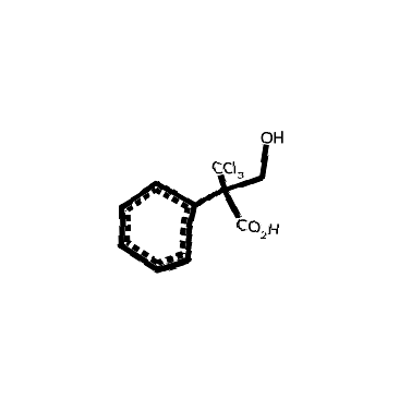 O=C(O)C(CO)(c1ccccc1)C(Cl)(Cl)Cl